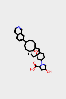 C[C@H]1CCC(c2ccc3ccncc3c2)CC/C=C2/C=C3CC[C@@H](N4CC(O)C[C@H]4C(=O)O)C[C@]34CC[C@@]21O4